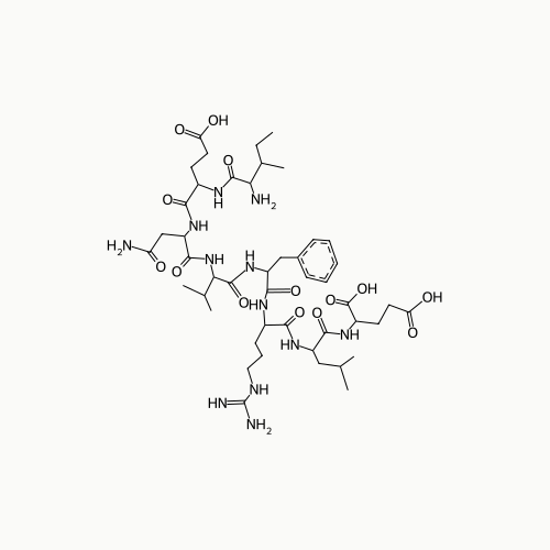 CCC(C)C(N)C(=O)NC(CCC(=O)O)C(=O)NC(CC(N)=O)C(=O)NC(C(=O)NC(Cc1ccccc1)C(=O)NC(CCCNC(=N)N)C(=O)NC(CC(C)C)C(=O)NC(CCC(=O)O)C(=O)O)C(C)C